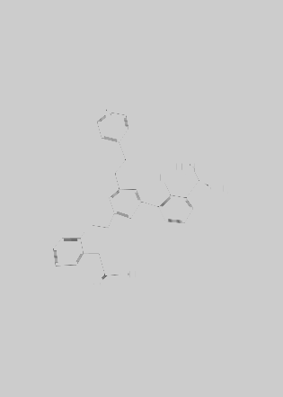 C[C@H](N)c1cccc(-c2cc(CCc3ccncc3)cc(COc3ccccc3CC(=O)O)c2)c1F